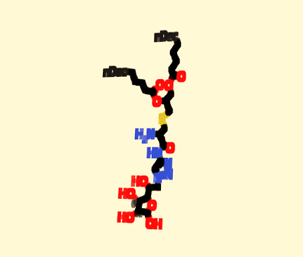 CCCCCCCCCCCCCCC(=O)OCC(CSCC(N)C(=O)Nc1cn(CC(O)C2OC(O)[C@@H](O)[C@@H]2O)nn1)OC(=O)CCCCCCCCCCCCCC